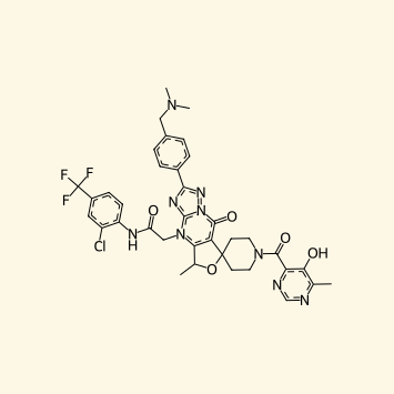 Cc1ncnc(C(=O)N2CCC3(CC2)OC(C)c2c3c(=O)n3nc(-c4ccc(CN(C)C)cc4)nc3n2CC(=O)Nc2ccc(C(F)(F)F)cc2Cl)c1O